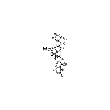 COc1cc(-c2cccc3cccnc23)ccc1C(=O)N1CCN(C(=O)c2cccc(C)n2)CC1